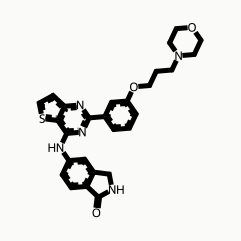 O=C1NCc2cc(Nc3nc(-c4cccc(OCCCN5CCOCC5)c4)nc4ccsc34)ccc21